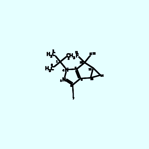 CC(C)(C)n1nc(I)c2c1C(F)(F)C1CC21